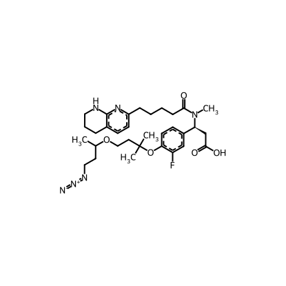 CC(CCN=[N+]=[N-])OCCC(C)(C)Oc1ccc([C@H](CC(=O)O)N(C)C(=O)CCCCc2ccc3c(n2)NCCC3)cc1F